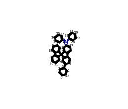 c1ccc(-c2ccc3c(c2)C(c2ccccc2)(c2ccccc2)c2cc(N(c4ccccc4)c4ccccc4)ccc2-3)cc1